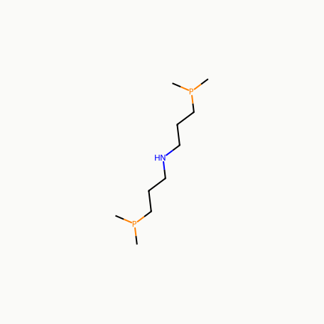 CP(C)CCCNCCCP(C)C